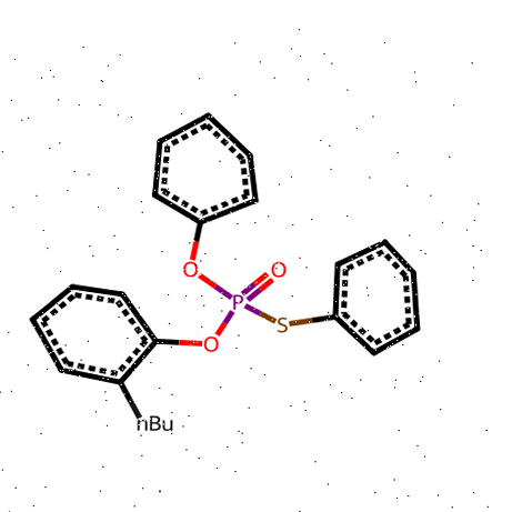 CCCCc1ccccc1OP(=O)(Oc1ccccc1)Sc1ccccc1